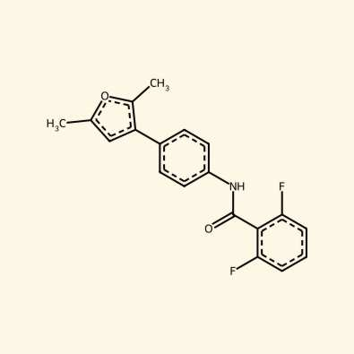 Cc1cc(-c2ccc(NC(=O)c3c(F)cccc3F)cc2)c(C)o1